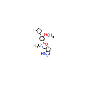 COc1cc(C(=O)N(C)Cc2cccc3cn[nH]c23)ccc1-c1cccc(F)c1